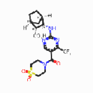 O=C(O)[C@@H]1[C@H]2CC[C@H](C2)[C@@H]1Nc1ncc(C(=O)N2CCS(=O)(=O)CC2)c(C(F)(F)F)n1